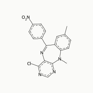 Cc1ccc2c(c1)C(c1ccc([N+](=O)[O-])cc1)=Nc1c(Cl)ncnc1N2C